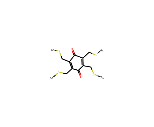 CC(=O)SCC1=C(CSC(C)=O)C(=O)C(CSC(C)=O)=C(CSC(C)=O)C1=O